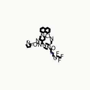 CN(C/C=C/C(=O)N1CCN(c2nc(OC[C@@H]3CCCN3C)nc3c2CCN(c2cccc4cccc(Cl)c24)C3)C[C@@H]1CC#N)C(F)C(F)F